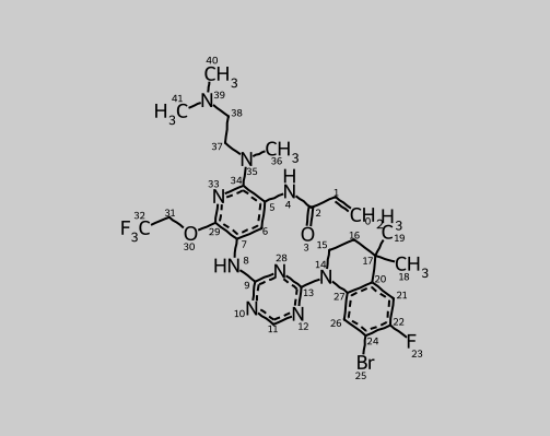 C=CC(=O)Nc1cc(Nc2ncnc(N3CCC(C)(C)c4cc(F)c(Br)cc43)n2)c(OCC(F)(F)F)nc1N(C)CCN(C)C